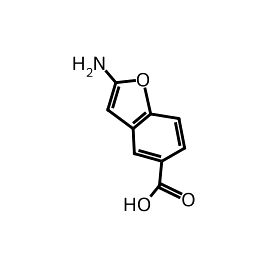 Nc1cc2cc(C(=O)O)ccc2o1